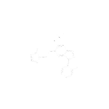 [2H]C([2H])([2H])C(C)(O)c1cc2nnc(-c3ccccc3F)n2nc1OCc1ncnn1CC